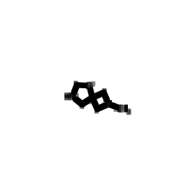 CN1CC2(CNCO2)C1